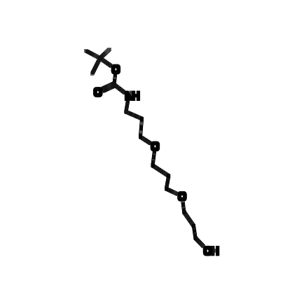 CC(C)(C)OC(=O)NCCCOCCCOCCCO